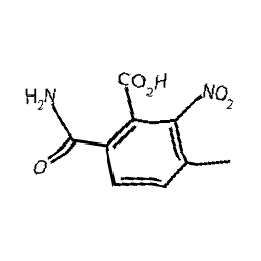 Cc1ccc(C(N)=O)c(C(=O)O)c1[N+](=O)[O-]